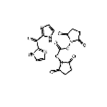 O=C(ON1C(=O)CCC1=O)ON1C(=O)CCC1=O.O=C(c1ncc[nH]1)c1ncc[nH]1